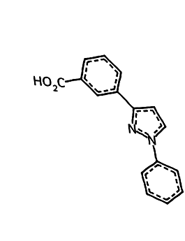 O=C(O)c1cccc(-c2ccn(-c3ccccc3)n2)c1